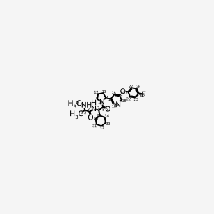 CNC(C)C(=O)NC(C(=O)N1CCC[C@H]1c1cncc(Oc2ccc(F)cc2)c1)C1CCCCC1